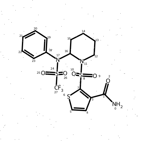 NC(=O)c1ccsc1S(=O)(=O)N1CCCCC1N(c1ccccc1)S(=O)(=O)C(F)(F)F